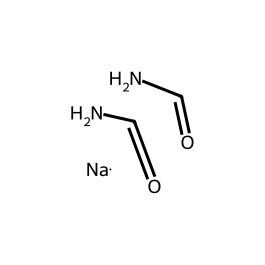 NC=O.NC=O.[Na]